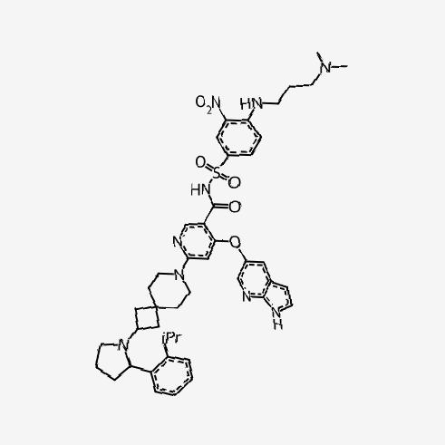 CC(C)c1ccccc1C1CCCN1C1CC2(CCN(c3cc(Oc4cnc5[nH]ccc5c4)c(C(=O)NS(=O)(=O)c4ccc(NCCCN(C)C)c([N+](=O)[O-])c4)cn3)CC2)C1